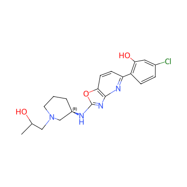 CC(O)CN1CCC[C@@H](Nc2nc3nc(-c4ccc(Cl)cc4O)ccc3o2)C1